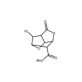 CCC1C2OC3C(OC(=O)C13)C2C(=O)OCC(C)C